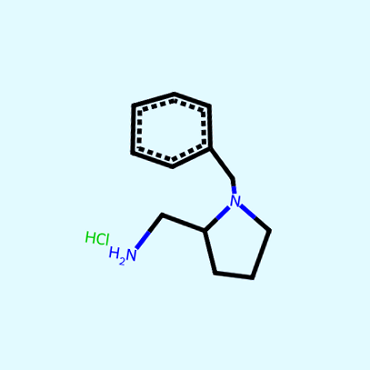 Cl.NCC1CCCN1Cc1ccccc1